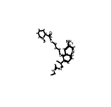 CC/N=C(C)\N=C/C(C)c1ccc2ncc(N)cc2c1OCCCOC(=O)C1CCCCN1C